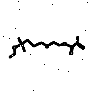 C=C(C)C(=O)OCCOCCC[Si](C)(C)OCC